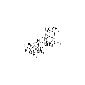 CC[C@]12CCC(C)(C)C[C@H]1[C@H]1CC[C@@H]3[C@@]4(C)CCC(C(=O)C(F)(F)F)C(C)(C)[C@@H]4CC[C@@]3(C)[C@]1(C)CC2